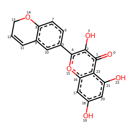 O=c1c(O)c(-c2ccc3c(c2)C=CCO3)oc2cc(O)cc(O)c12